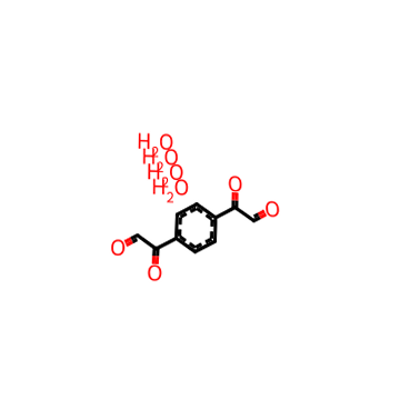 O.O.O.O.O=CC(=O)c1ccc(C(=O)C=O)cc1